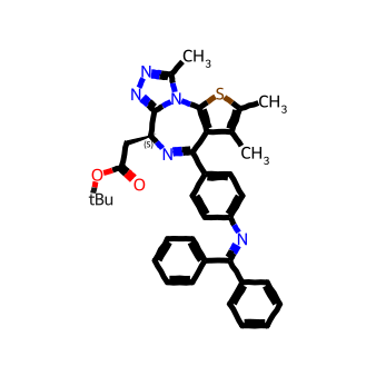 Cc1sc2c(c1C)C(c1ccc(N=C(c3ccccc3)c3ccccc3)cc1)=N[C@@H](CC(=O)OC(C)(C)C)c1nnc(C)n1-2